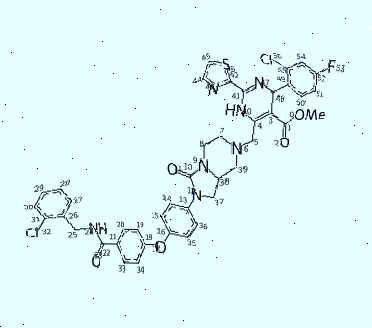 COC(=O)C1=C(CN2CCN3C(=O)N(c4ccc(Oc5ccc(C(=O)NCc6ccccc6Cl)cc5)cc4)CC3C2)NC(c2nccs2)=NC1c1ccc(F)cc1Cl